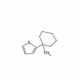 CC1(c2cccs2)CCCCC1